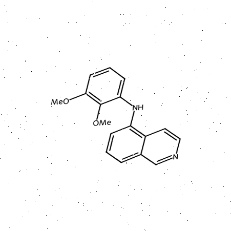 COc1cccc(Nc2cccc3cnccc23)c1OC